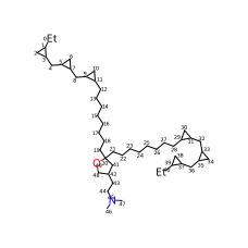 CCC1CC1CC1CC1CC1CC1CCCCCCCCC1(CCCCCCCCC2CC2CC2CC2CC2CC2CC)CC(CCN(C)C)CO1